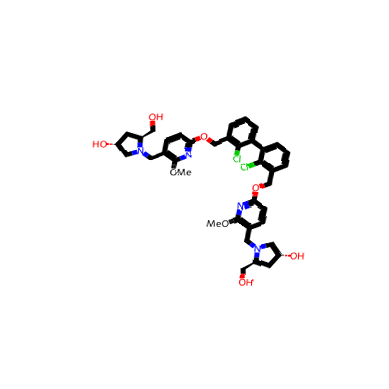 COc1nc(OCc2cccc(-c3cccc(COc4ccc(CN5C[C@H](O)C[C@H]5CO)c(OC)n4)c3Cl)c2Cl)ccc1CN1C[C@H](O)C[C@H]1CO